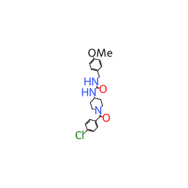 COc1ccc(CNC(=O)NC2CCN(C(=O)c3ccc(Cl)cc3)CC2)cc1